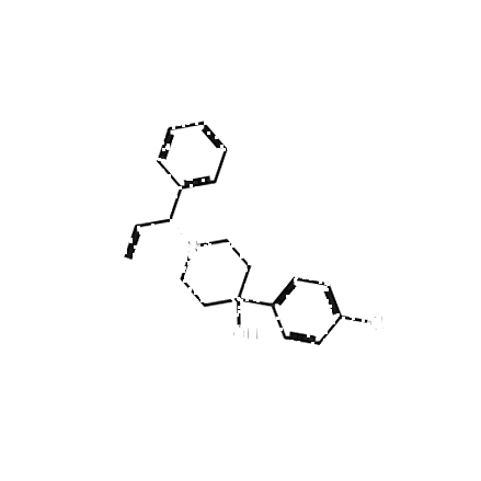 C=C[C@H](c1ccccc1)N1CCC(O)(c2ccc(Cl)cc2)CC1